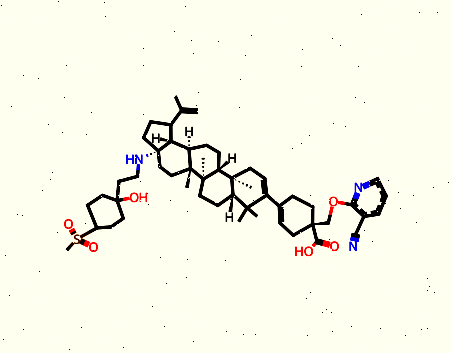 C=C(C)C1CC[C@]2(NCCC3(O)CCC(S(C)(=O)=O)CC3)CC[C@]3(C)[C@H](CC[C@@H]4[C@@]5(C)CC=C(C6=CC[C@@](COc7ncccc7C#N)(C(=O)O)CC6)C(C)(C)[C@@H]5CC[C@]43C)[C@@H]12